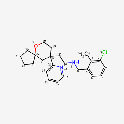 Cc1c(Cl)cccc1CNCCC1(c2ccccn2)CCOC2(CCCC2)C1